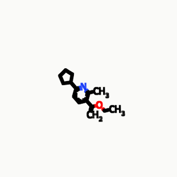 C=C(OCC)c1ccc(C2CCCC2)nc1C